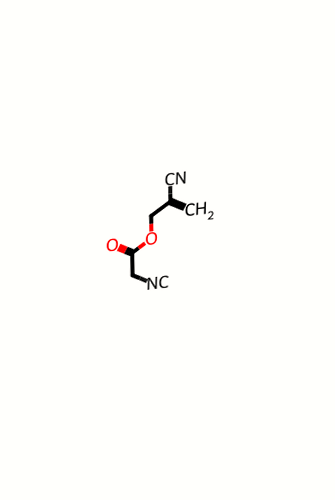 [C-]#[N+]CC(=O)OCC(=C)C#N